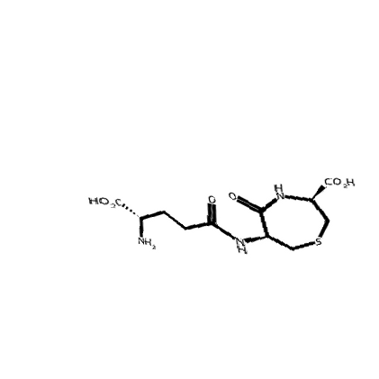 N[C@@H](CCC(=O)N[C@@H]1CSC[C@H](C(=O)O)NC1=O)C(=O)O